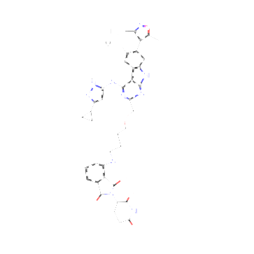 CCn1nc(C2CC2)cc1Nc1nc(COCCCCNc2cccc3c2C(=O)N(C2CCC(=O)NC2=O)C3=O)nc2[nH]c3cc(-c4c(C)noc4C)c(OC)cc3c12